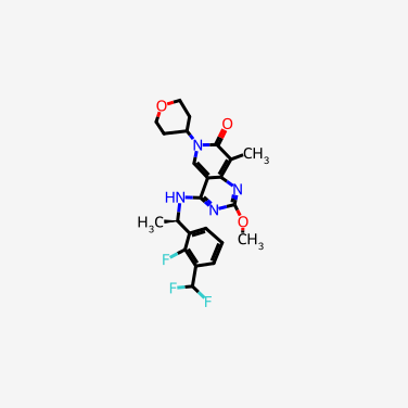 COc1nc(N[C@H](C)c2cccc(C(F)F)c2F)c2cn(C3CCOCC3)c(=O)c(C)c2n1